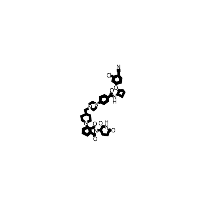 N#Cc1ccc(OC2CCCC2NC(=O)c2ccc(N3CCN(CC4CCN(c5cccc6c5C(=O)N(C5CCC(=O)NC5=O)C6=O)CC4)CC3)cc2)cc1Cl